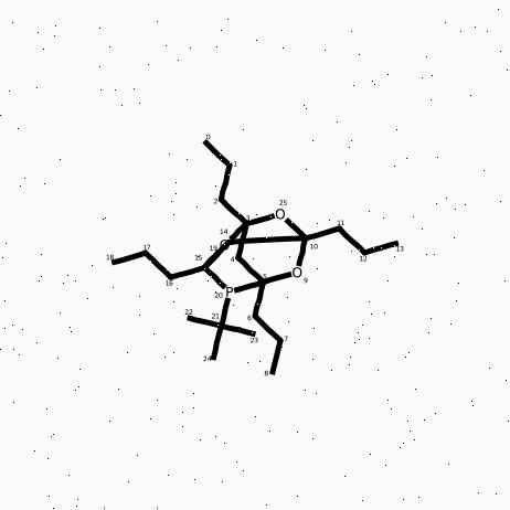 CCCC12CC3(CCC)OC(CCC)(CC(CCC)(O1)P3C(C)(C)C)O2